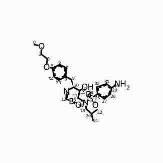 COCCOc1ccc(C[C@H](/N=C\B=O)C(O)CN(CC(C)C)S(=O)(=O)c2ccc(N)cc2)cc1